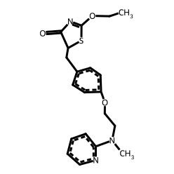 CCOC1=NC(=O)C(Cc2ccc(OCCN(C)c3ccccn3)cc2)S1